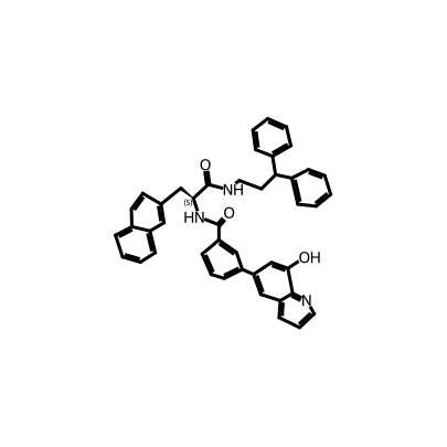 O=C(N[C@@H](Cc1ccc2ccccc2c1)C(=O)NCCC(c1ccccc1)c1ccccc1)c1cccc(-c2cc(O)c3ncccc3c2)c1